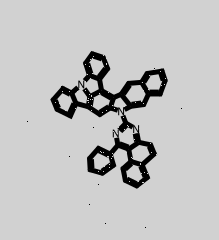 c1ccc(-c2nc(-n3c4cc5ccccc5cc4c4c5c6ccccc6n6c7ccccc7c(cc43)c56)nc3ccc4ccccc4c23)cc1